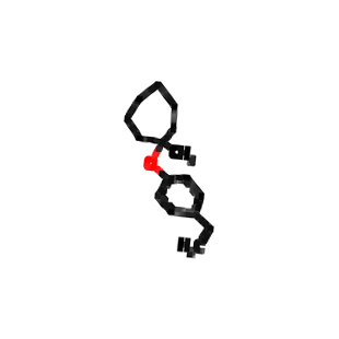 C=Cc1ccc(OC2(C)CCCCCC2)cc1